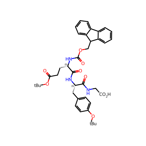 CC(C)(C)OC(=O)CC[C@H](NC(=O)OCC1c2ccccc2-c2ccccc21)C(=O)N[C@@H](Cc1ccc(OC(C)(C)C)cc1)C(=O)NCC(=O)O